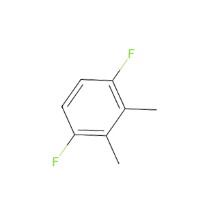 Cc1c(F)ccc(F)c1C